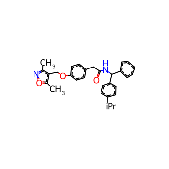 Cc1noc(C)c1COc1ccc(CC(=O)NC(c2ccccc2)c2ccc(C(C)C)cc2)cc1